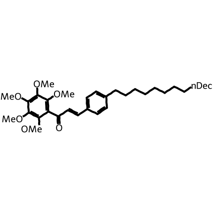 CCCCCCCCCCCCCCCCCCc1ccc(C=CC(=O)c2c(OC)c(OC)c(OC)c(OC)c2OC)cc1